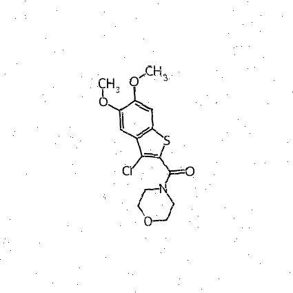 COc1cc2sc(C(=O)N3CCOCC3)c(Cl)c2cc1OC